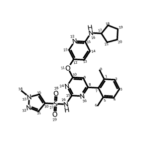 Cc1cccc(C)c1-c1cc(Oc2ccc(NC3CCCC3)nc2)nc(NS(=O)(=O)c2cnn(C)c2)n1